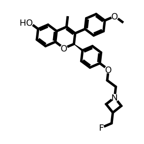 COc1ccc(C2=C(C)c3cc(O)ccc3O[C@@H]2c2ccc(OCCN3CC(CF)C3)cc2)cc1